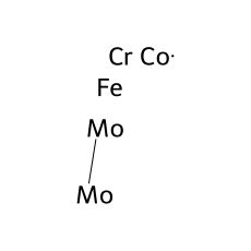 [Co].[Cr].[Fe].[Mo][Mo]